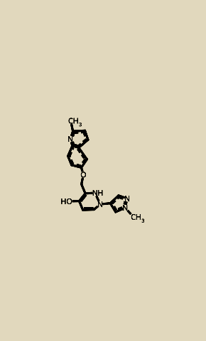 Cc1ccc2cc(OCC3=C(O)C=CN(c4cnn(C)c4)N3)ccc2n1